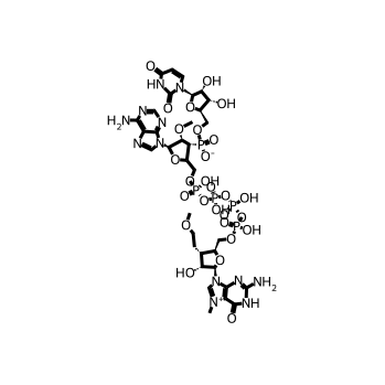 COCC[C@H]1[C@@H](O)[C@H](n2c[n+](C)c3c(=O)[nH]c(N)nc32)O[C@@H]1COP(=O)(O)OP(=O)(O)OP(=O)(O)OP(=O)(O)OCC1O[C@@H](n2cnc3c(N)ncnc32)[C@H](OC)[C@@H]1P(=O)([O-])OC[C@H]1O[C@@H](n2ccc(=O)[nH]c2=O)[C@H](O)[C@@H]1O